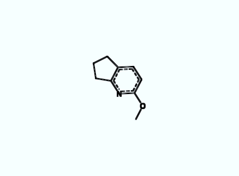 COc1ccc2c(n1)CCC2